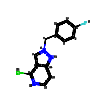 Fc1ccc(Cn2cc3c(Cl)nccc3n2)cc1